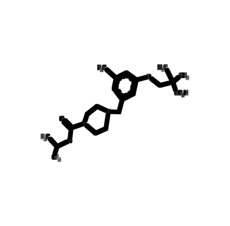 CC(C)(COc1cc(CN2CCN(C(=O)OC(C(F)(F)F)C(F)(F)F)CC2)cc(C(F)(F)F)c1)C(=O)O